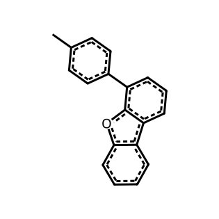 Cc1ccc(-c2cccc3c2oc2ccccc23)cc1